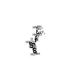 N=C(N)NCCC[C@H](NC(=O)Cn1cc(COC(=O)c2c(O)c(O)cc3occ(-c4cc5cc(O)c(O)cc5oc4=O)c(=O)c23)nn1)C(=O)OC(=O)C(F)(F)F